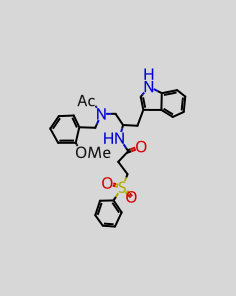 COc1ccccc1CN(CC(Cc1c[nH]c2ccccc12)NC(=O)CCS(=O)(=O)c1ccccc1)C(C)=O